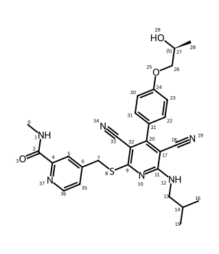 CNC(=O)c1cc(CSc2nc(NCC(C)C)c(C#N)c(-c3ccc(OC[C@H](C)O)cc3)c2C#N)ccn1